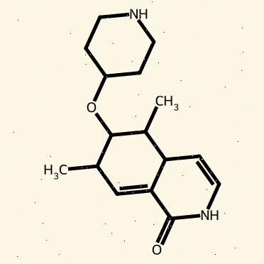 CC1C=C2C(=O)NC=CC2C(C)C1OC1CCNCC1